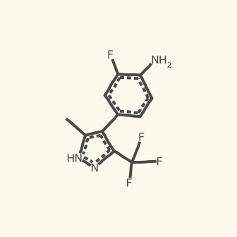 Cc1[nH]nc(C(F)(F)F)c1-c1ccc(N)c(F)c1